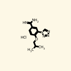 CC(C)COc1ccc(C(=N)N)cc1-n1cnnn1.Cl